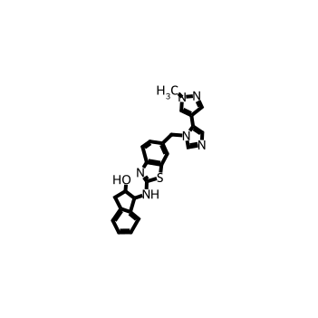 Cn1cc(-c2cncn2Cc2ccc3nc(NC4c5ccccc5CC4O)sc3c2)cn1